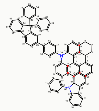 C1=c2cccc(C3CCCCC3)c2=C(c2ccccc2N(c2ccc(-c3ccc4c(c3)C(c3ccccc3)(c3ccccc3)c3ccccc3-4)cc2)c2cccc(-c3cccc4c5ccccc5n(-c5ccccc5)c34)c2)CC1